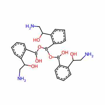 NCC(O)c1ccccc1B(O)OB(OB(O)c1ccccc1C(O)CN)c1ccccc1C(O)CN